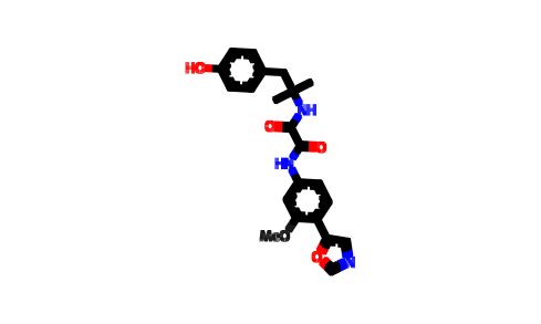 COc1cc(NC(=O)C(=O)NC(C)(C)Cc2ccc(O)cc2)ccc1-c1cnco1